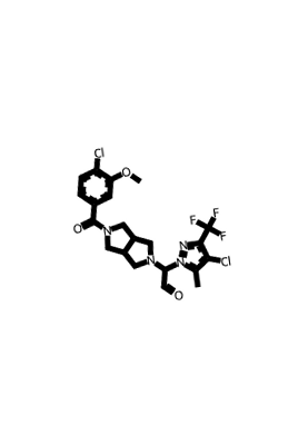 COc1cc(C(=O)N2CC3CN(C(C=O)n4nc(C(F)(F)F)c(Cl)c4C)CC3C2)ccc1Cl